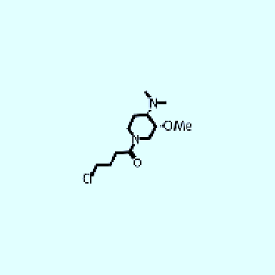 CO[C@@H]1CN(C(=O)CCCCl)CC[C@@H]1N(C)C